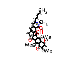 CC=CC=Cc1cc2cc3c(c(O)c2c(=O)n1C)[C@@]1(CC3)C(=O)c2c(OC)c3c(c(OC)c2C1=O)C(=O)C(OC)=CC3=O